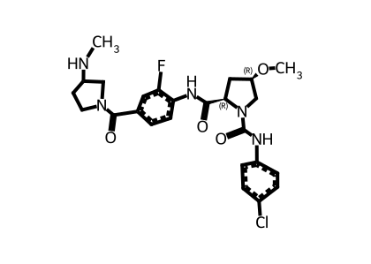 CNC1CCN(C(=O)c2ccc(NC(=O)[C@H]3C[C@@H](OC)CN3C(=O)Nc3ccc(Cl)cc3)c(F)c2)C1